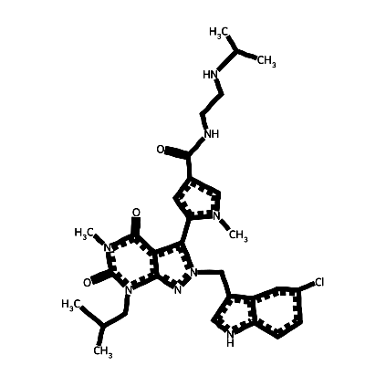 CC(C)Cn1c(=O)n(C)c(=O)c2c(-c3cc(C(=O)NCCNC(C)C)cn3C)n(Cc3c[nH]c4ccc(Cl)cc34)nc21